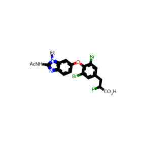 CCn1c(NC(C)=O)nc2ccc(Oc3c(Br)cc(CC(F)C(=O)O)cc3Br)cc21